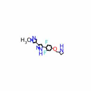 Cn1cc(-c2cc(-c3c(F)cc(OCC4CCN4)cc3F)[nH]n2)cn1